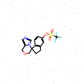 O=S(=O)(Oc1ccc2c(c1)CCC21COCc2cncn21)C(F)(F)F